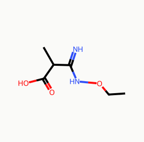 CCONC(=N)C(C)C(=O)O